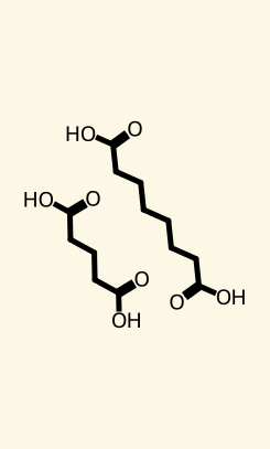 O=C(O)CCCC(=O)O.O=C(O)CCCCCCC(=O)O